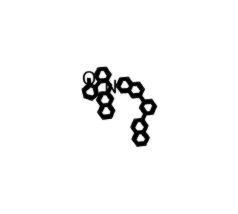 c1cc(-c2ccc3ccccc3c2)cc(-c2ccc3ccc(N(c4ccc5ccccc5c4)c4cccc5oc6ccccc6c45)cc3c2)c1